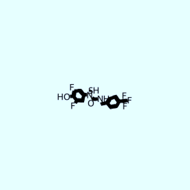 O=C(NCc1ccc(C(F)(F)F)cc1)N(S)c1cc(F)c(O)c(F)c1